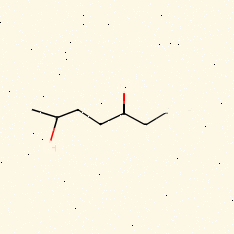 CCCCCCC(O)C[CH]C(C)O